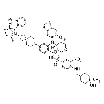 CC(C)c1ccccc1[C@@H]1[C@@H]2C[C@@H](CO2)N1C1CC2(CCN(c3ccc(C(=O)NS(=O)(=O)c4ccc(NCC5CCC(C)(O)CC5)c([N+](=O)[O-])c4)c(N4c5cc6cc[nH]c6nc5O[C@H]5COCC[C@@H]54)c3)CC2)C1